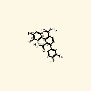 NC(=O)c1ccc(-c2ccc(F)c(F)c2)c(C(N)=O)c1-c1ccc(F)c(F)c1